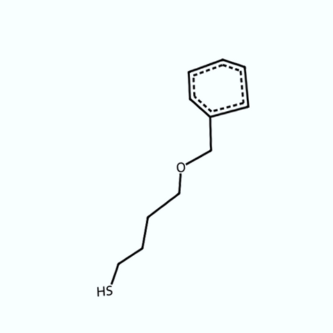 SCCCCOCc1ccccc1